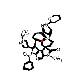 CN1C(=O)C2(CCN(c3cnn(C4CCCCO4)c3)CC2)c2c1cnc1c2c(-c2ccccc2)c(-c2cnn(C)c2)n1[S+]([O-])c1ccccc1